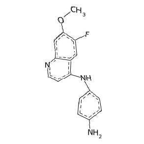 COc1cc2nccc(Nc3ccc(N)cc3)c2cc1F